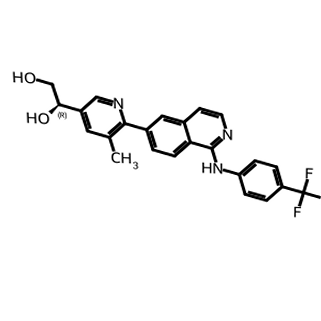 Cc1cc([C@@H](O)CO)cnc1-c1ccc2c(Nc3ccc(C(F)(F)F)cc3)nccc2c1